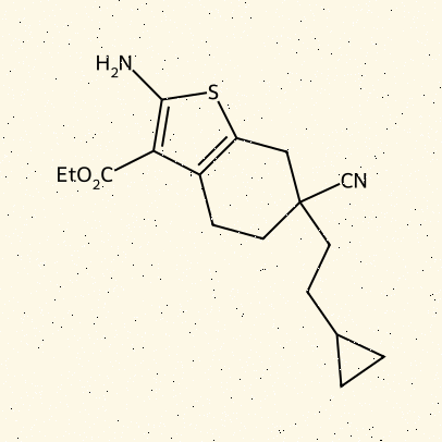 CCOC(=O)c1c(N)sc2c1CCC(C#N)(CCC1CC1)C2